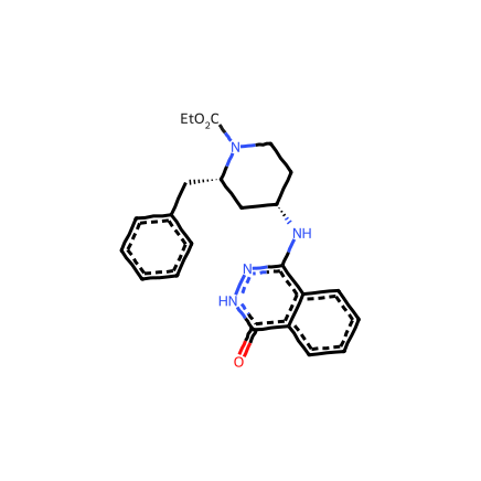 CCOC(=O)N1CC[C@H](Nc2n[nH]c(=O)c3ccccc23)C[C@@H]1Cc1ccccc1